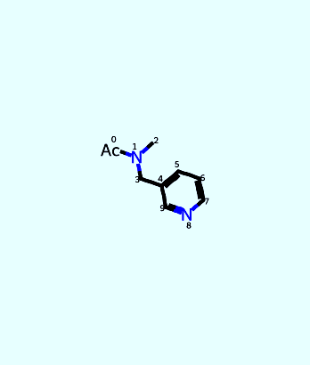 CC(=O)N(C)Cc1cccnc1